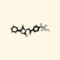 CS(=O)(=O)Nc1ccc(C(=O)CN2C(=O)SC(=C3CCCCC3)C2=O)cc1